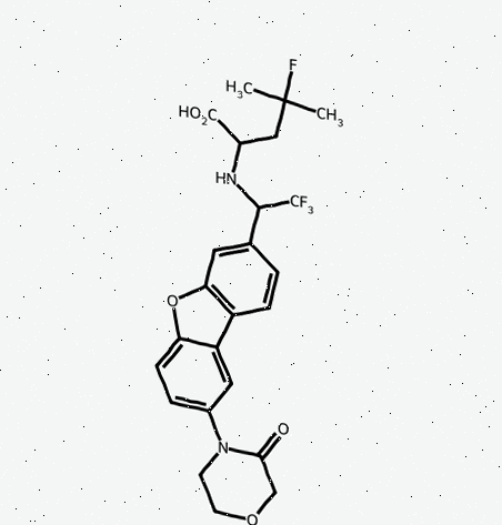 CC(C)(F)CC(NC(c1ccc2c(c1)oc1ccc(N3CCOCC3=O)cc12)C(F)(F)F)C(=O)O